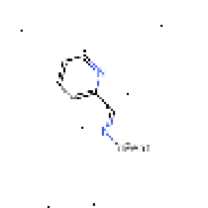 CCCCCN=Cc1ccccn1